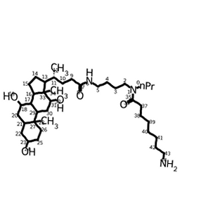 CCCN(CCCCNC(=O)CC[C@@H](C)C1CCC2C3C(O)CC4CC(O)CCC4(C)C3CC(O)C21C)C(=O)CCCCCCCN